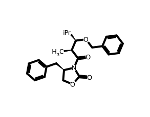 CC(C)[C@@H](OCc1ccccc1)[C@H](C)C(=O)N1C(=O)OC[C@H]1Cc1ccccc1